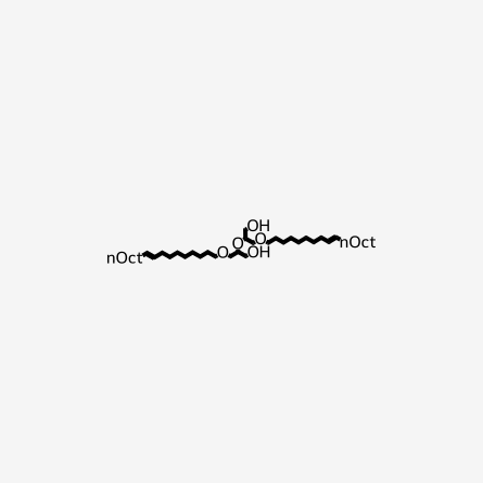 CCCCCCCCC=CCCCCCCCCOCC(CO)OC(CO)COCCCCCCCCC=CCCCCCCCC